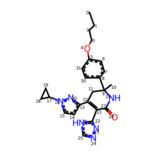 CCCCOc1ccc(C2(C)CC(c3ccn(C4CC4)n3)=C(c3nnc[nH]3)C(=O)N2)cc1